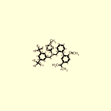 COc1ccc(C(C)C)cc1-c1ccccc1CN(Cc1cc(C(F)(F)F)cc(C(F)(F)F)c1)c1nnn(C)n1